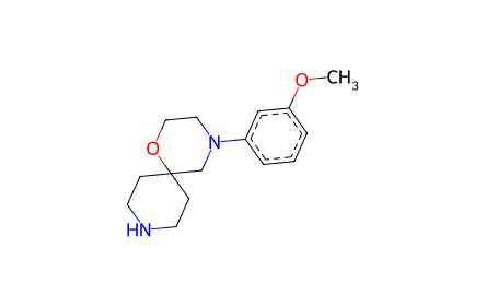 COc1cccc(N2CCOC3(CCNCC3)C2)c1